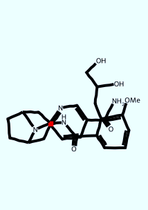 COc1cccc(C(=O)NC2CC3CCC(C2)N3c2ccc(C(N)=O)cn2)c1CC(O)CO